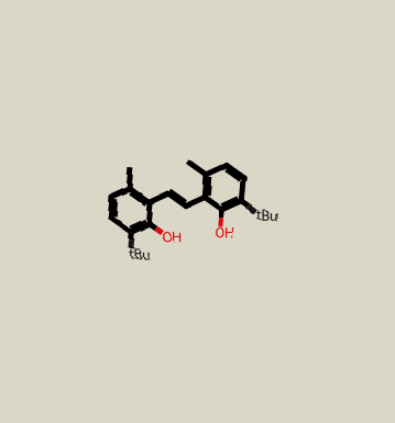 Cc1ccc(C(C)(C)C)c(O)c1C=Cc1c(C)ccc(C(C)(C)C)c1O